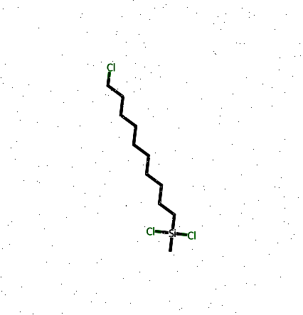 C[Si](Cl)(Cl)CCCCCCCCCCCl